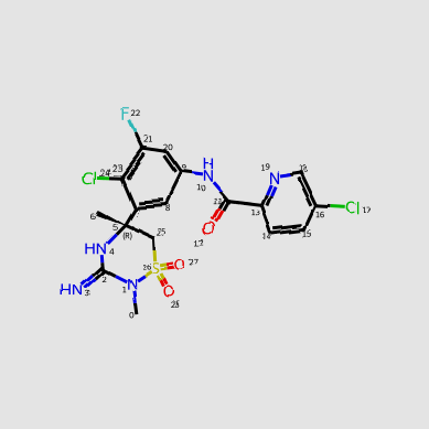 CN1C(=N)N[C@](C)(c2cc(NC(=O)c3ccc(Cl)cn3)cc(F)c2Cl)CS1(=O)=O